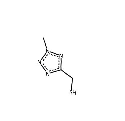 Cn1nnc(CS)n1